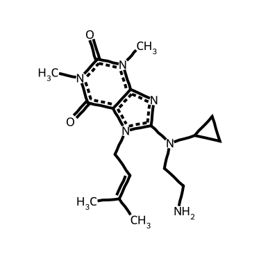 CC(C)=CCn1c(N(CCN)C2CC2)nc2c1c(=O)n(C)c(=O)n2C